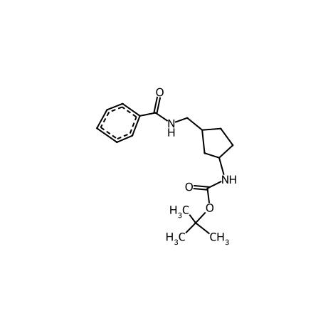 CC(C)(C)OC(=O)NC1CCC(CNC(=O)c2ccccc2)C1